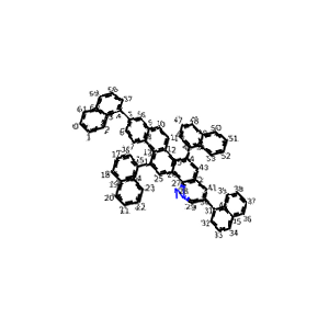 c1ccc2c(-c3ccc4c(ccc5c4c(-c4cccc6ccccc46)cc4c6ncc(-c7cccc8ccccc78)cc6cc(-c6cccc7ccccc67)c45)c3)cccc2c1